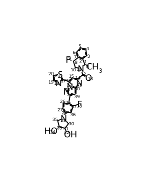 C[C@@H]1c2ccccc2[C@@H](F)CN1C(=O)c1cc(-c2nccs2)n2nc(-c3ccc(N4C[C@@H](O)[C@H](O)C4)cc3F)cc2n1